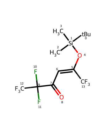 CC(C)(C)[Si](C)(C)OC(=CC(=O)C(F)(F)C(F)(F)F)C(F)(F)F